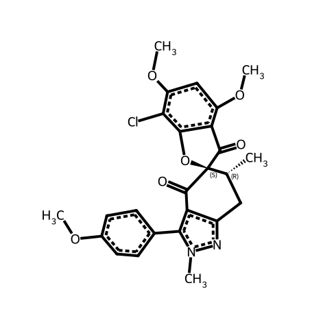 COc1ccc(-c2c3c(nn2C)C[C@@H](C)[C@]2(Oc4c(Cl)c(OC)cc(OC)c4C2=O)C3=O)cc1